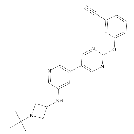 C#Cc1cccc(Oc2ncc(-c3cncc(NC4CN(C(C)(C)C)C4)c3)cn2)c1